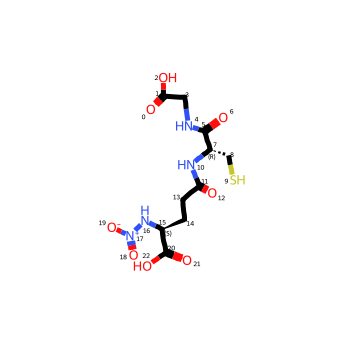 O=C(O)CNC(=O)[C@H](CS)NC(=O)CC[C@H](N[N+](=O)[O-])C(=O)O